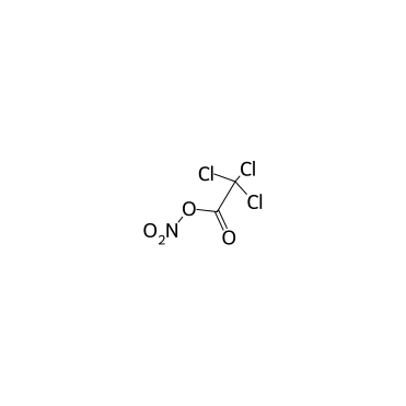 O=C(O[N+](=O)[O-])C(Cl)(Cl)Cl